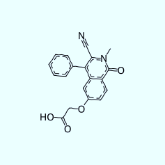 Cn1c(C#N)c(-c2ccccc2)c2cc(OCC(=O)O)ccc2c1=O